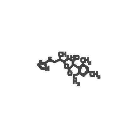 Cc1cc(C)c(C2=C(O)CC(C(C)CSc3nccs3)OC2=O)c(C)c1